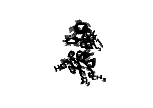 COCCO[C@@H]1C[C@@H](CO[Si](c2ccccc2)(c2ccccc2)C(C)(C)C)O[C@H]1n1cc(C)c(=O)n(CO)c1=O